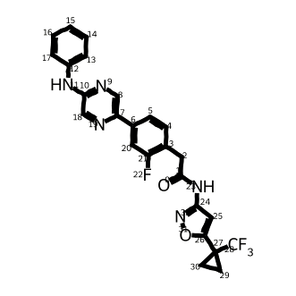 O=C(Cc1ccc(-c2cnc(Nc3ccccc3)cn2)cc1F)Nc1cc(C2(C(F)(F)F)CC2)on1